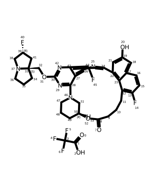 O=C(O)C(F)(F)F.O=C1CCCc2c(F)ccc3cc(O)cc(c23)-c2ncc3c(nc(OC[C@@]45CCCN4C[C@H](F)C5)nc3c2F)N2CCC[C@H](C2)O1